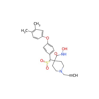 C#CCN1CCC(C(=O)NO)(C(c2ccc(Oc3ccc(C)c(C)c3)cc2)=S(=O)=O)CC1